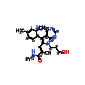 CC1=CC(C)C(c2c(/C=C(\C#N)C(=O)NC(C)C)n(CCCO)c3ncnc(N)c23)C=C1